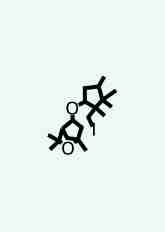 CC1CC(OC2CC3(C)CC2C(C)(C)O3)C(C)(CI)C1(C)C